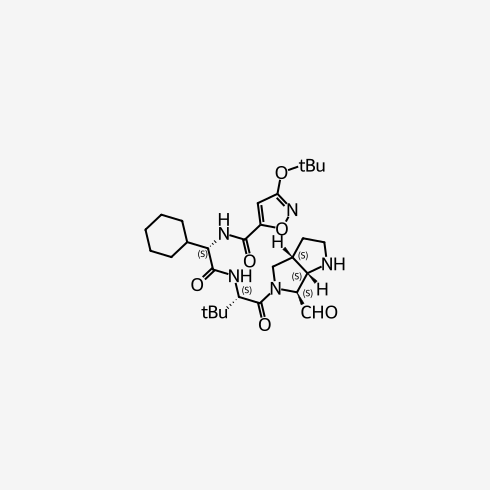 CC(C)(C)Oc1cc(C(=O)N[C@H](C(=O)N[C@H](C(=O)N2C[C@@H]3CCN[C@@H]3[C@H]2C=O)C(C)(C)C)C2CCCCC2)on1